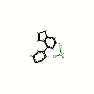 C1=Cc2c(cccc2-c2ccccc2)C1.[Cl][Zr][Cl]